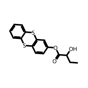 CCC(O)C(=O)Oc1ccc2c(c1)Sc1ccccc1S2